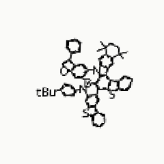 CC(C)(C)c1ccc(N2B3c4cc5occ(-c6ccccc6)c5cc4-n4c5cc6c(cc5c5c7c(sc8ccccc87)c(c3c54)-c3cc4c(cc32)sc2ccccc24)C(C)(C)CCC6(C)C)cc1